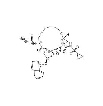 CC(C)(C)OC(=O)N[C@H]1CCCCCCC[C@@H]2C[C@@]2(C(=O)NS(=O)(=O)C2CC2)NC(=O)[C@@H]2C[C@@H](Oc3nccc4ccccc34)CN2C1=O